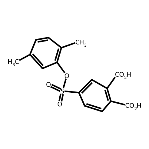 Cc1ccc(C)c(OS(=O)(=O)c2ccc(C(=O)O)c(C(=O)O)c2)c1